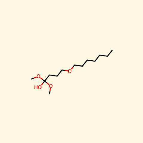 CCCCCCCOCCCC(O)(OC)OC